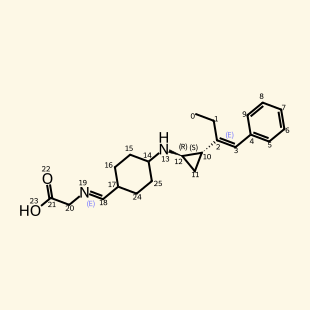 CC/C(=C\c1ccccc1)[C@@H]1C[C@H]1NC1CCC(/C=N/CC(=O)O)CC1